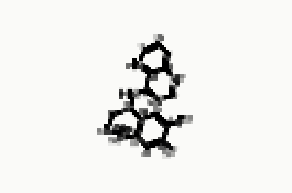 CNC[C@@H](Nc1ncnc2cccnc12)c1cc(F)c(F)cc1F